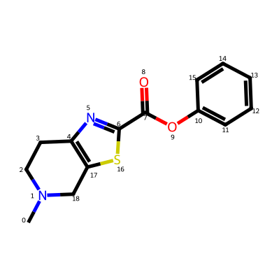 CN1CCc2nc(C(=O)Oc3ccccc3)sc2C1